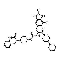 O=C(NC(Cc1cc(Cl)c2[nH]c(=O)[nH]c2c1)C(=O)N1CCC(N2CCCCC2)CC1)ON1CCC(N2Cc3ccccc3NC2=O)CC1